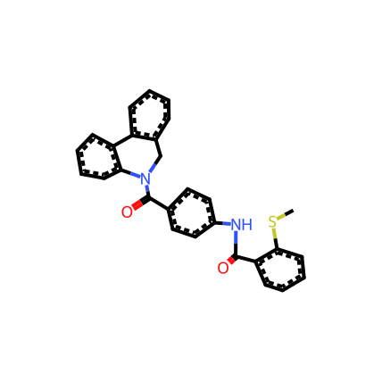 CSc1ccccc1C(=O)Nc1ccc(C(=O)N2Cc3ccccc3-c3ccccc32)cc1